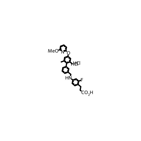 COc1cccc(Oc2cc(C)c(-c3cccc(CNc4ccc(CCC(=O)O)c(F)c4)c3)c(C)c2)n1.Cl.Cl